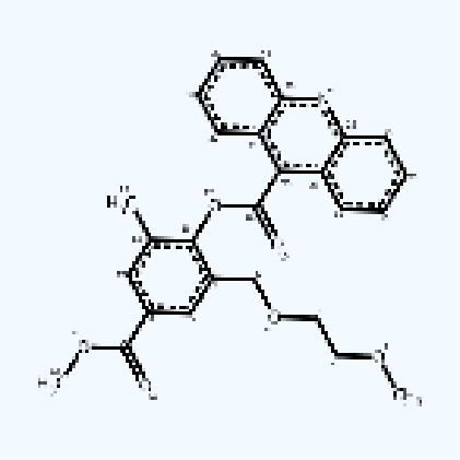 COCCOCc1cc(C(=O)OC)cc(C)c1OC(=O)c1c2ccccc2nc2ccccc12